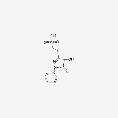 O=C1C(O)C(CCS(=O)(=O)O)=NN1c1ccccc1